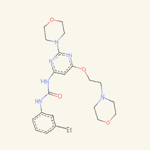 CCc1cccc(NC(=O)Nc2cc(OCCN3CCOCC3)nc(N3CCOCC3)n2)c1